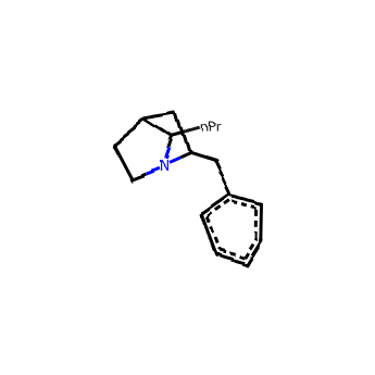 CCCC1C2CCN1C(Cc1ccccc1)C2